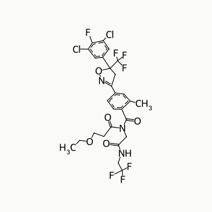 CCOCCC(=O)N(CC(=O)NCC(F)(F)F)C(=O)c1ccc(C2=NOC(c3cc(Cl)c(F)c(Cl)c3)(C(F)(F)F)C2)cc1C